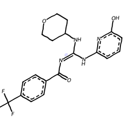 O=C(/N=C(\Nc1cccc(O)n1)NC1CCOCC1)c1ccc(C(F)(F)F)cc1